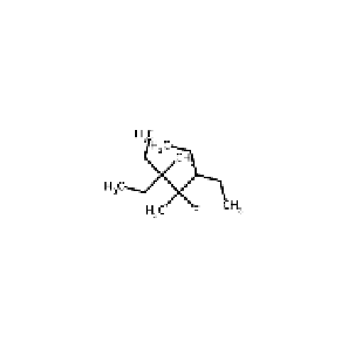 CCC(CC)C(C)(F)C(C)(CC)CC